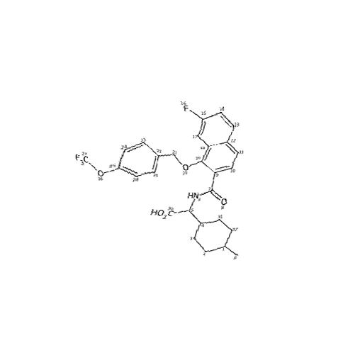 CC1CCC(C(NC(=O)c2ccc3ccc(F)cc3c2OCc2ccc(OC(F)(F)F)cc2)C(=O)O)CC1